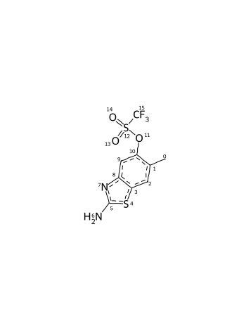 Cc1cc2sc(N)nc2cc1OS(=O)(=O)C(F)(F)F